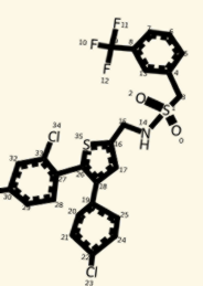 O=S(=O)(Cc1cccc(C(F)(F)F)c1)NCc1cc(-c2ccc(Cl)cc2)c(-c2ccc(Cl)cc2Cl)s1